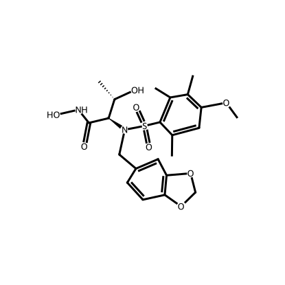 COc1cc(C)c(S(=O)(=O)N(Cc2ccc3c(c2)OCO3)[C@@H](C(=O)NO)[C@H](C)O)c(C)c1C